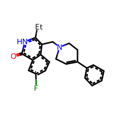 CCc1[nH]c(=O)c2cc(F)ccc2c1CN1CC=C(c2ccccc2)CC1